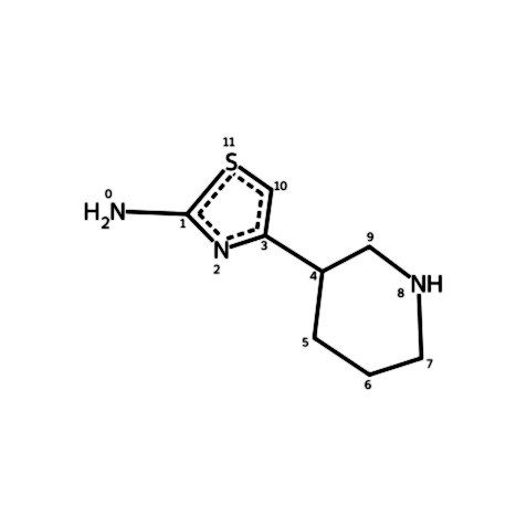 Nc1nc(C2CCCNC2)cs1